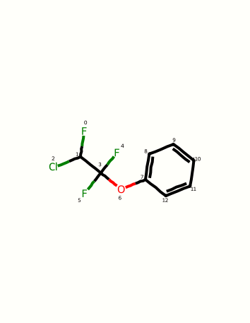 FC(Cl)C(F)(F)Oc1cc[c]cc1